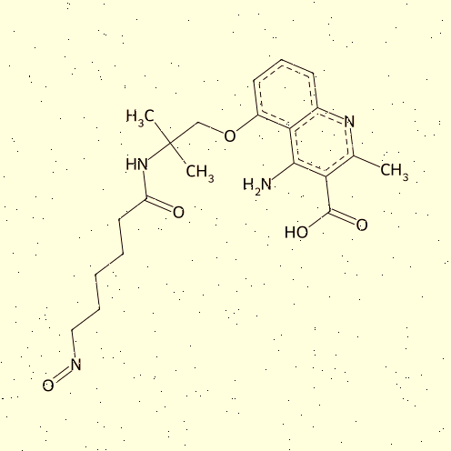 Cc1nc2cccc(OCC(C)(C)NC(=O)CCCCCN=O)c2c(N)c1C(=O)O